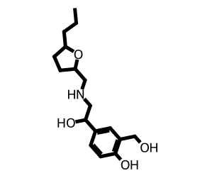 CCCC1CCC(CNCC(O)c2ccc(O)c(CO)c2)O1